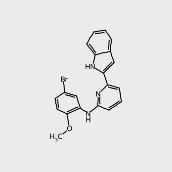 COc1ccc(Br)cc1Nc1cccc(-c2cc3ccccc3[nH]2)n1